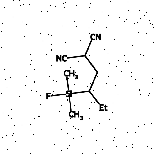 CCC(CC(C#N)C#N)[Si](C)(C)F